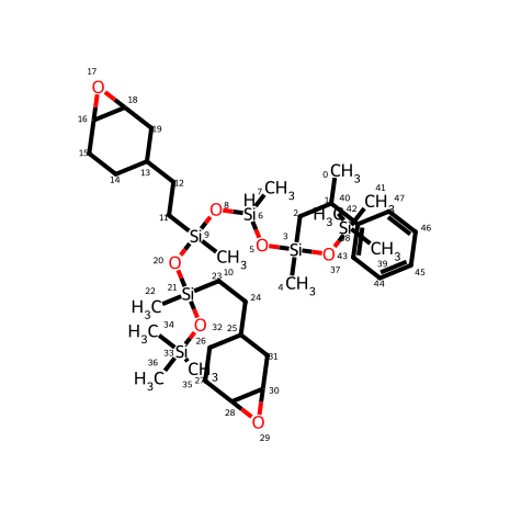 CC(C[Si](C)(O[SiH](C)O[Si](C)(CCC1CCC2OC2C1)O[Si](C)(CCC1CCC2OC2C1)O[Si](C)(C)C)O[Si](C)(C)C)c1ccccc1